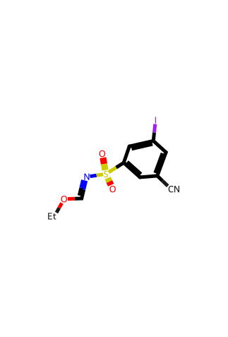 CCOC=NS(=O)(=O)c1cc(I)cc(C#N)c1